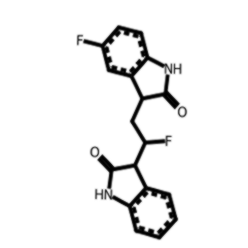 O=C1Nc2ccc(F)cc2C1CC(F)C1C(=O)Nc2ccccc21